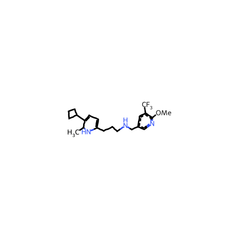 COc1ncc(CNCCCC2=CC=C(C3CCC3)C(C)N2)cc1C(F)(F)F